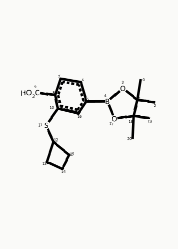 CC1(C)OB(c2ccc(C(=O)O)c(SC3CCC3)c2)OC1(C)C